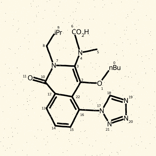 CCCCOc1c(N(C)C(=O)O)n(CC(C)C)c(=O)c2cccc(-n3cnnn3)c12